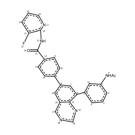 CC(=O)Nc1cccc(-c2cc(-c3ccc(C(=O)Nc4ncccc4F)cc3)cc3cncnc23)c1